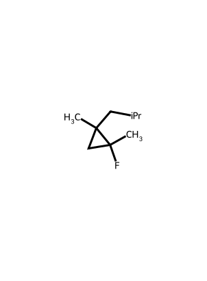 CC(C)CC1(C)CC1(C)F